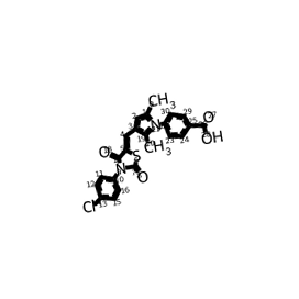 Cc1cc(C=C2SC(=O)N(c3ccc(Cl)cc3)C2=O)c(C)n1-c1ccc(C(=O)O)cc1